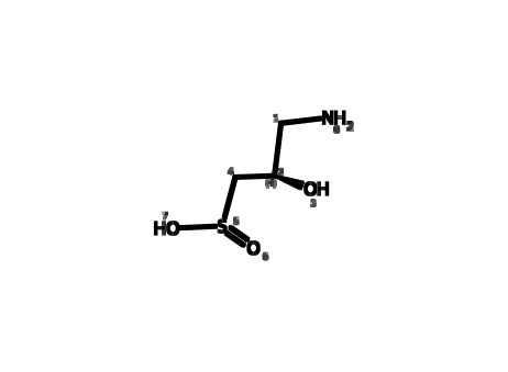 NC[C@@H](O)CS(=O)O